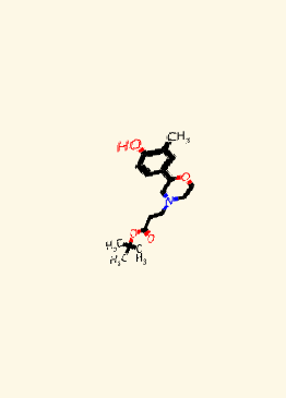 Cc1cc(C2CN(CCC(=O)OC(C)(C)C)CCO2)ccc1O